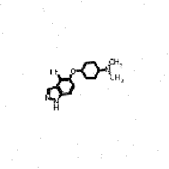 CCc1c(OC2CCC(N(C)C)CC2)ccc2[nH]ncc12